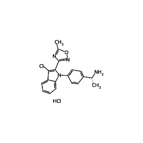 Cc1nc(-c2c(Cl)c3ccccc3n2-c2ccc([C@@H](C)N)cc2)no1.Cl